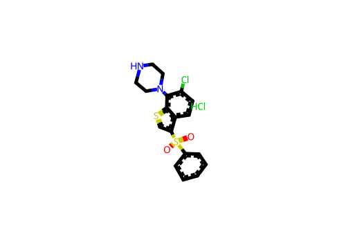 Cl.O=S(=O)(c1ccccc1)c1csc2c(N3CCNCC3)c(Cl)ccc12